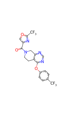 O=C(c1coc(C(F)(F)F)n1)N1CCc2c(ncnc2Oc2ccc(C(F)(F)F)cc2)C1